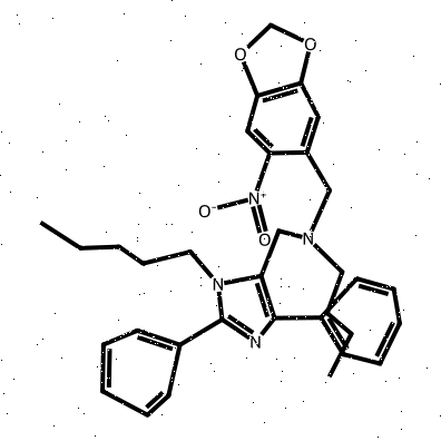 CCCCCn1c(-c2ccccc2)nc(-c2ccccc2)c1CN(CCCC)Cc1cc2c(cc1[N+](=O)[O-])OCO2